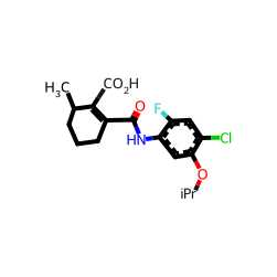 CC(C)Oc1cc(NC(=O)C2=C(C(=O)O)C(C)CCC2)c(F)cc1Cl